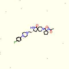 CC(=O)N(C)C1(C(=O)N2CCC3(CC2)C[C@H](CCN2CCN(c4ccc(F)cc4)CC2)NC3=O)CCCC1